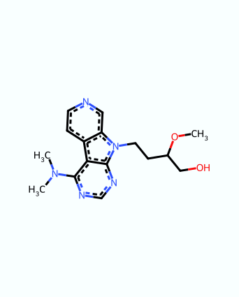 COC(CO)CCn1c2cnccc2c2c(N(C)C)ncnc21